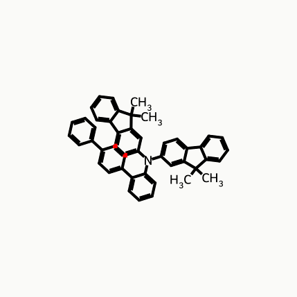 CC1(C)c2ccccc2-c2ccc(N(c3ccc4c(c3)C(C)(C)c3ccccc3-4)c3ccccc3-c3ccc(-c4ccccc4)cc3)cc21